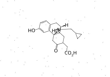 O=C(O)CC1C[C@@]2(O)[C@H]3Cc4ccc(O)cc4[C@@]2(CCN3CC2CC2)CC1=O